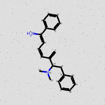 C=C(/C=C\C=C(/N)c1ccccc1)C(Cc1ccccc1)N(C)C